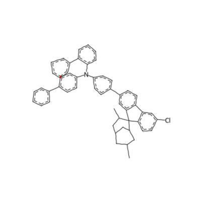 CC1CC2CC(C)C3(c4ccc(Cl)cc4-c4ccc(-c5ccc(N(c6ccc(-c7ccccc7)cc6)c6ccccc6-c6ccccc6)cc5)cc43)C(C1)C2